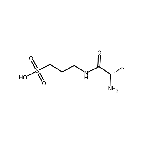 C[C@H](N)C(=O)NCCCS(=O)(=O)O